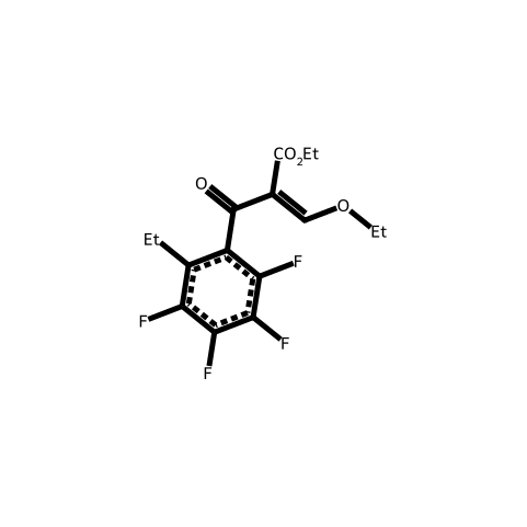 CCOC=C(C(=O)OCC)C(=O)c1c(F)c(F)c(F)c(F)c1CC